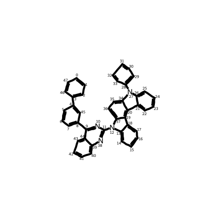 c1ccc(-c2cccc(-c3nc(-n4c5ccccc5c5c6c7ccccc7n(-c7ccccc7)c6ccc54)nc4ccccc34)c2)cc1